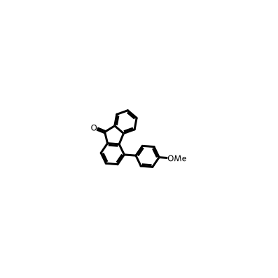 COc1ccc(-c2cccc3c2-c2ccccc2C3=O)cc1